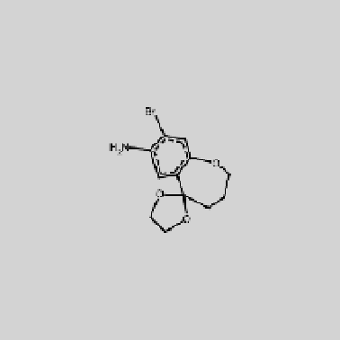 Nc1cc2c(cc1Br)OCCCC21OCCO1